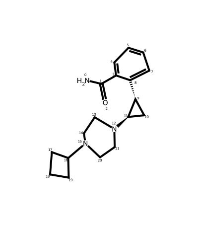 NC(=O)c1ccccc1[C@@H]1C[C@H]1N1CCN(C2CCC2)CC1